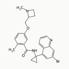 Cc1ccc(OCC2CCN2C)cc1C(=O)NC1(c2cc(Br)cc3ncccc23)CC1